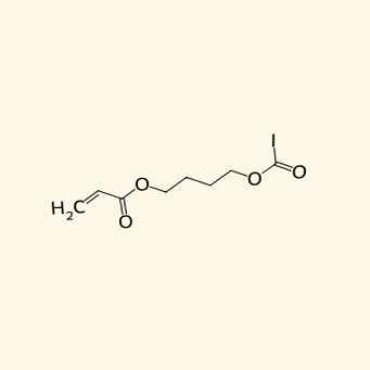 C=CC(=O)OCCCCOC(=O)I